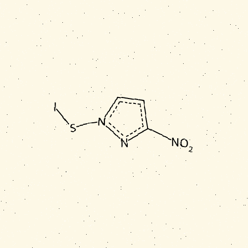 O=[N+]([O-])c1ccn(SI)n1